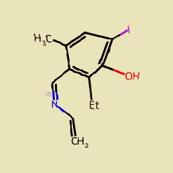 C=C/N=C\c1c(C)cc(I)c(O)c1CC